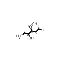 CCC(O)C(CC[O])OC